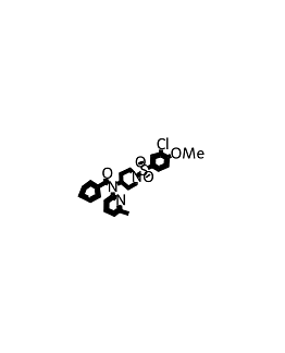 COc1ccc(S(=O)(=O)N2CCC(N(C(=O)c3ccccc3)c3cccc(C)n3)CC2)cc1Cl